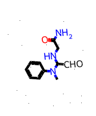 CN(c1ccccc1)C(C=O)NCC(N)=O